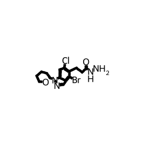 NNC(=O)CCc1c(Cl)cc2c(cnn2C2CCCCO2)c1Br